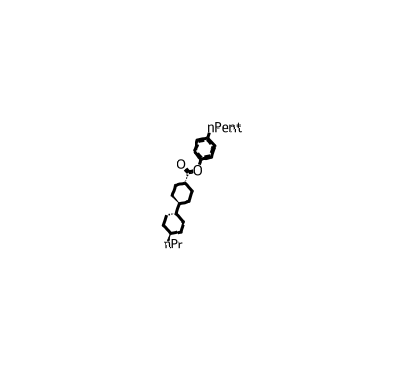 CCCCCc1ccc(OC(=O)[C@H]2CC[C@H]([C@H]3CC[C@H](CCC)CC3)CC2)cc1